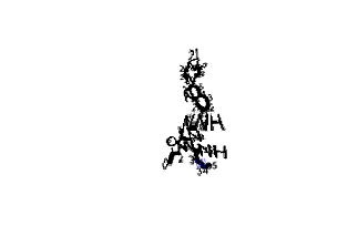 C=CCn1c(=O)c2cnc(Nc3ccc4cc(N5CCN(C)CC5)cnc4c3)nc2n1C(=N)/C=C\C